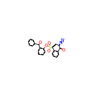 [N-]=[N+]=C1C=C(S(=O)(=O)Oc2ccccc2C(=O)c2ccccc2)c2ccccc2C1=O